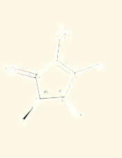 CC1=C(O)C(=O)[C@H](C)[C@H]1C